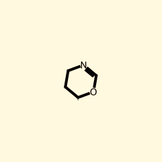 [CH]1CCN=CO1